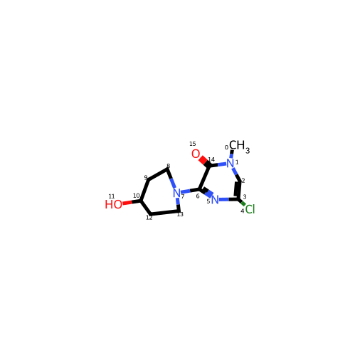 Cn1cc(Cl)nc(N2CCC(O)CC2)c1=O